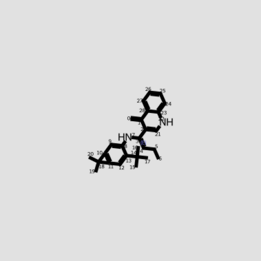 C=C1C(/C(=C\CC)Nc2cc3c(cc2C(C)(C)C)C3(C)C)=CNc2ccccc21